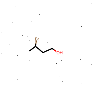 CC(Br)CCO